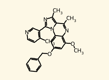 COc1cc(OCc2ccccc2)cc2c1nc(C)c1c(C)nc(-c3cnccc3C)n12